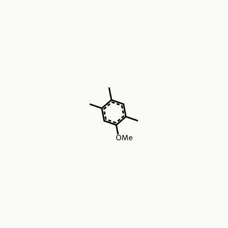 COc1cc(C)c(C)cc1C